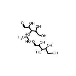 CCO.O=CC(O)C(O)C(O)CO.O=CC(O)C(O)C(O)CO